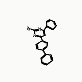 Brc1nc(-c2ccccc2)cc(-c2ccc(-c3ccccc3)cc2)n1